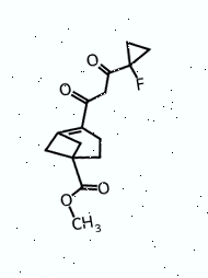 COC(=O)C12CCC(C(=O)CC(=O)C3(F)CC3)=C(C1)C2